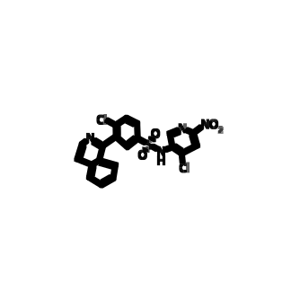 O=[N+]([O-])c1cc(Cl)c(NS(=O)(=O)c2ccc(Cl)c(-c3nccc4ccccc34)c2)cn1